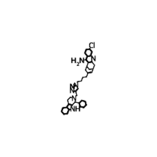 Nc1c2c(nc3cc(Cl)ccc13)CC1C=C(CCCCn3cc(CN4CCc5c([nH]c6ccccc56)C4c4ccccc4)nn3)CC2C1